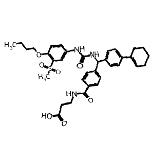 CCCCOc1ccc(NC(=O)NC(c2ccc(C(=O)NCCC(=O)O)cc2)c2ccc(C3=CCCCC3)cc2)cc1S(C)(=O)=O